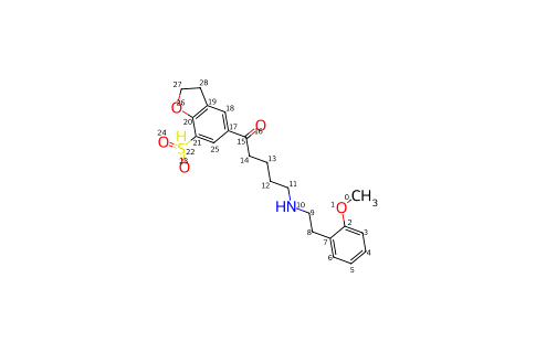 COc1ccccc1CCNCCCCC(=O)c1cc2c(c([SH](=O)=O)c1)OCC2